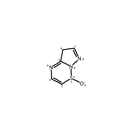 [O-][S+]1C=CN=C2CC=NN21